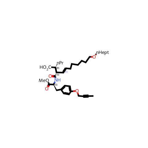 CC#CCOc1ccc(C[C@H](NC(=O)[C@@H](/C=C/CCCCCCOCCCCCCC)[C@@H](CCC)C(=O)O)C(=O)OC)cc1